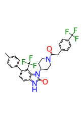 Cc1ccc(-c2ccc3[nH]c(=O)n(C4CCN(C(=O)Cc5ccc(C(F)(F)F)cc5)CC4)c3c2C(F)(F)F)cc1